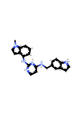 Cn1ccc2c(Nc3nccc(NCc4ccc5[nH]ccc5c4)n3)cccc21